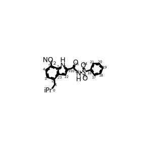 CC(C)Cc1ccc([N+](=O)[O-])c2[nH]c(C(=O)NS(=O)(=O)c3ccccc3)cc12